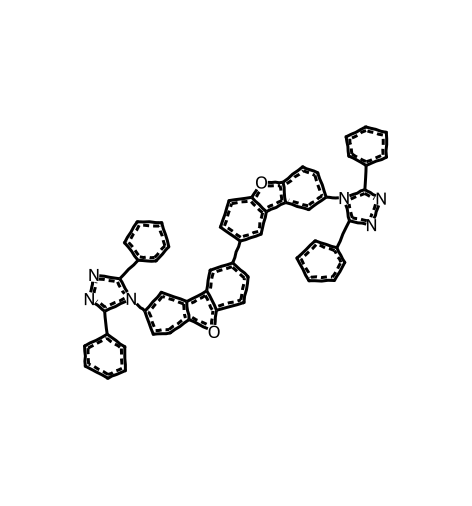 c1ccc(-c2nnc(-c3ccccc3)n2-c2ccc3oc4ccc(-c5ccc6oc7ccc(-n8c(-c9ccccc9)nnc8-c8ccccc8)cc7c6c5)cc4c3c2)cc1